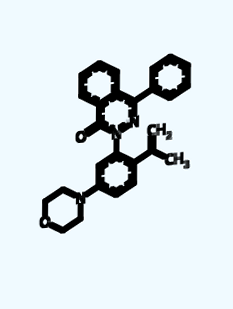 C=C(C)c1ccc(N2CCOCC2)cc1-n1nc(-c2ccccc2)c2ccccc2c1=O